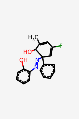 CC1=CC(F)=CC(N=Nc2ccccc2O)(c2ccccc2)C1O